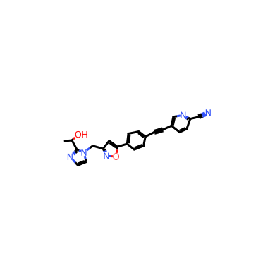 CC(O)c1nccn1Cc1cc(-c2ccc(C#Cc3ccc(C#N)nc3)cc2)on1